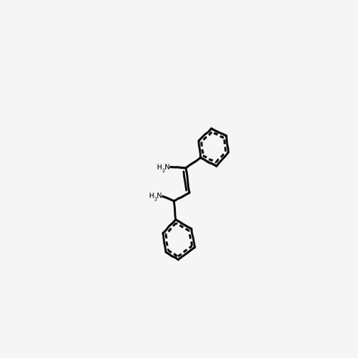 N/C(=C\C(N)c1ccccc1)c1ccccc1